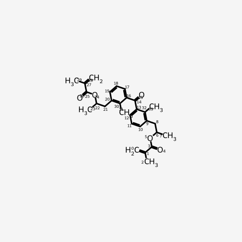 C=C(C)C(=O)OC(C)Cc1cccc(C(=O)c2cccc(CC(C)OC(=O)C(=C)C)c2C)c1C